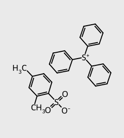 Cc1ccc(S(=O)(=O)[O-])c(C)c1.c1ccc([S+](c2ccccc2)c2ccccc2)cc1